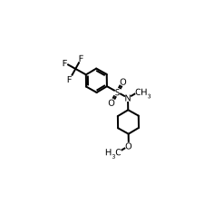 COC1CCC(N(C)S(=O)(=O)c2ccc(C(F)(F)F)cc2)CC1